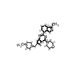 CN1CCN(Cc2cc3nc(-c4cccc5c4cnn5C)nc(N4CCOCC4)c3s2)CC1